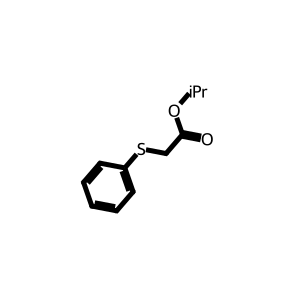 CC(C)OC(=O)CSc1ccccc1